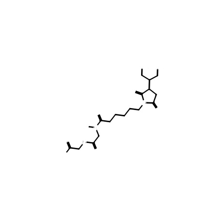 C=C(C)CNC(=C)CN(C)C(=O)CCCCCN1C(=C)CC(C(CC)CC)C1=C